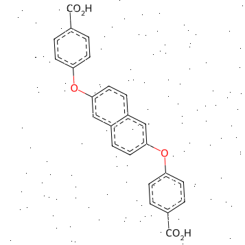 O=C(O)c1ccc(Oc2[c]c3ccc(Oc4ccc(C(=O)O)cc4)cc3cc2)cc1